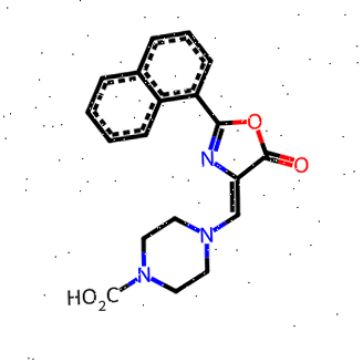 O=C1OC(c2cccc3ccccc23)=NC1=CN1CCN(C(=O)O)CC1